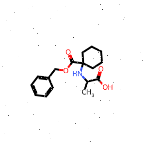 CC(NC1(C(=O)OCc2ccccc2)CCCCC1)C(=O)O